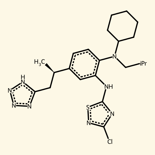 CC(C)CN(c1ccc([C@H](C)Cc2nnn[nH]2)cc1Nc1nc(Cl)ns1)C1CCCCC1